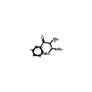 CCCCI(CCCC)C(C(=O)c1ccccc1)C(C)(C)C